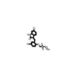 CC(C)(C)NS(=O)(=O)COc1ccc(Cl)cc1/C=C1\C(=O)Nc2cc(Cl)ccc21